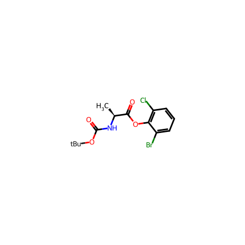 C[C@H](NC(=O)OC(C)(C)C)C(=O)Oc1c(Cl)cccc1Br